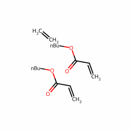 C=C.C=CC(=O)OCCCC.C=CC(=O)OCCCC